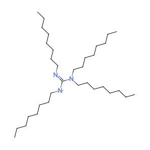 CCCCCCCC[N]C(=NCCCCCCCC)N(CCCCCCCC)CCCCCCCC